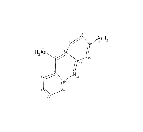 [AsH2]c1ccc2c([AsH2])c3ccccc3nc2c1